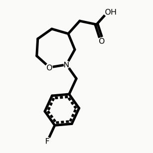 O=C(O)CC1CCCON(Cc2ccc(F)cc2)C1